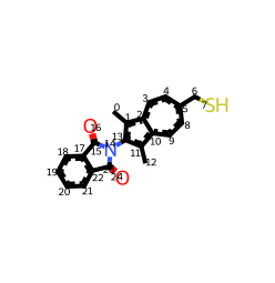 Cc1c2ccc(CS)ccc-2c(C)c1N1C(=O)c2ccccc2C1=O